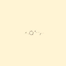 CC(=O)Nc1ccc(C(=S)OCC(=O)O)cc1